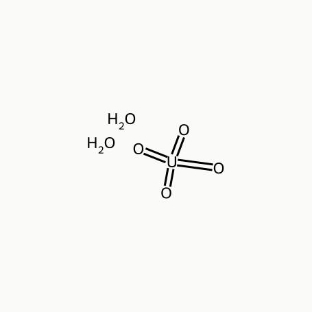 O.O.[O]=[U](=[O])(=[O])=[O]